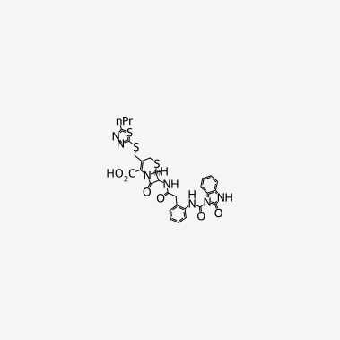 CCCc1nnc(SCC2=C(C(=O)O)N3C(=O)C(NC(=O)Cc4ccccc4NC(=O)n4c(=O)[nH]c5ccccc54)[C@H]3SC2)s1